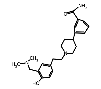 CN(C)Cc1cc(CCN2CCC(c3cccc(C(N)=O)c3)CC2)ccc1O